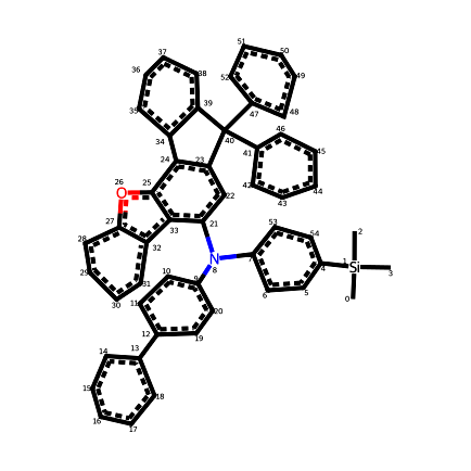 C[Si](C)(C)c1ccc(N(c2ccc(-c3ccccc3)cc2)c2cc3c(c4oc5ccccc5c24)-c2ccccc2C3(c2ccccc2)c2ccccc2)cc1